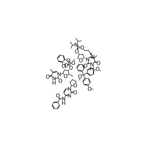 COc1ccc(C(OC[C@@H]2O[C@@H](n3ccc(NC(=O)c4ccccc4)nc3=O)C[C@@H]2C[C@H]2O[C@@H](n3cc(C)c(=O)[nH]c3=O)C[C@@H]2OP(=O)(OC[C@H]2O[C@@H](n3cc(C)c(=O)[nH]c3=O)C[C@@H]2OP(OCCC#N)N(C(C)C)C(C)C)Oc2ccccc2Cl)(c2ccccc2)c2ccc(OC)cc2)cc1